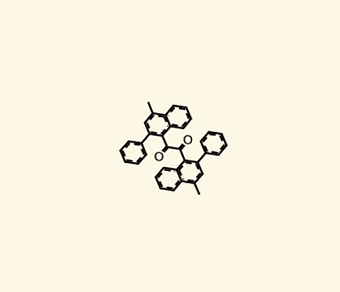 Cc1cc(-c2ccccc2)c(C(=O)C(=O)c2c(-c3ccccc3)cc(C)c3ccccc23)c2ccccc12